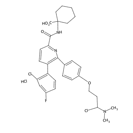 CN(C)C(Cl)CCOc1ccc(-c2nc(C(=O)NC3(C(=O)O)CCCCC3)ccc2-c2ccc(F)cc2Cl)cc1.Cl